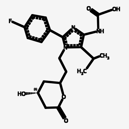 CC(C)c1c(NC(=O)O)nc(-c2ccc(F)cc2)n1CCC1C[C@@H](O)CC(=O)O1